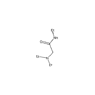 CCNC(=O)CN(CC)CC